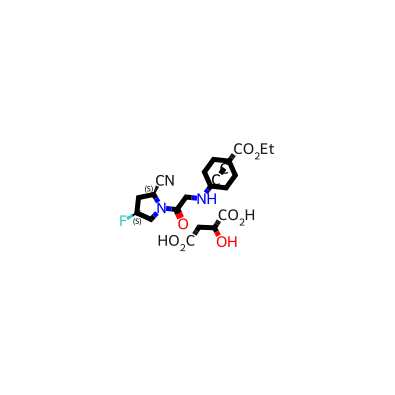 CCOC(=O)C12CCC(NCC(=O)N3C[C@@H](F)C[C@H]3C#N)(CC1)CC2.O=C(O)CC(O)C(=O)O